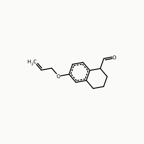 C=CCOc1ccc2c(c1)CCCC2C=O